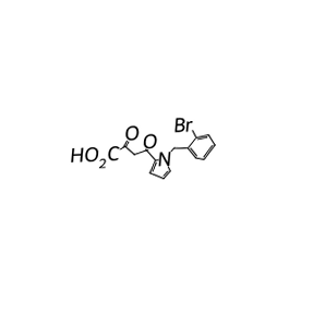 O=C(O)C(=O)CC(=O)c1cccn1Cc1ccccc1Br